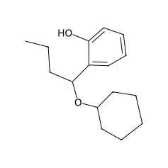 CCCC(OC1CCCCC1)c1ccccc1O